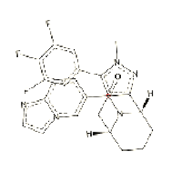 Cn1nc2c(c1-c1cc(F)c(F)c(F)c1)C[C@H]1CCC[C@@H]2N1C(=O)c1ccc2nccn2c1